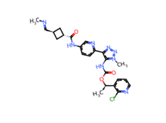 C/N=C/[C@H]1C[C@H](C(=O)Nc2ccc(-c3nnn(C)c3NC(=O)O[C@H](C)c3cccnc3Cl)nc2)C1